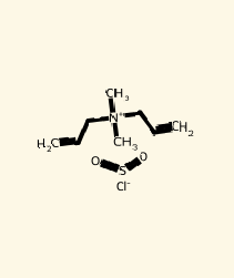 C=CC[N+](C)(C)CC=C.O=S=O.[Cl-]